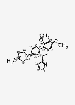 COc1cc(CCC2=NCC=C2)c(-c2ccc(N3CCN(C)CC3)cc2)c(OC)c1